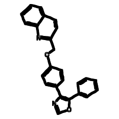 c1ccc(-c2ocnc2-c2ccc(OCc3ccc4ccccc4n3)cc2)cc1